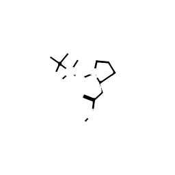 COC(=O)C[C@@H]1[C@@H](C)CCN1O[Si](C)(C)C(C)(C)C